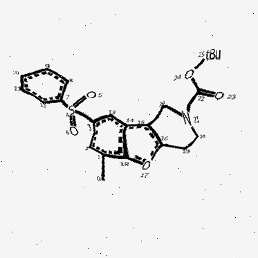 Cc1cc(S(=O)(=O)c2ccccc2)cc2c3c(oc12)CCN(C(=O)OC(C)(C)C)C3